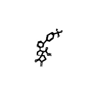 O=C(O)N1[C@H](c2cc(-c3ccc(C(F)(F)F)cc3)ccn2)CC[C@@]12CCNC2=O